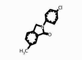 Cc1ccc2c(c1)C(=O)N(c1ccc(Cl)cc1)C2